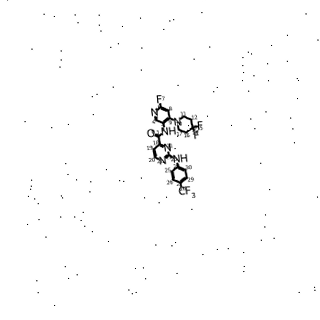 O=C(Nc1cnc(F)cc1N1CCC(F)(F)CC1)c1ccnc(Nc2ccc(C(F)(F)F)cc2)n1